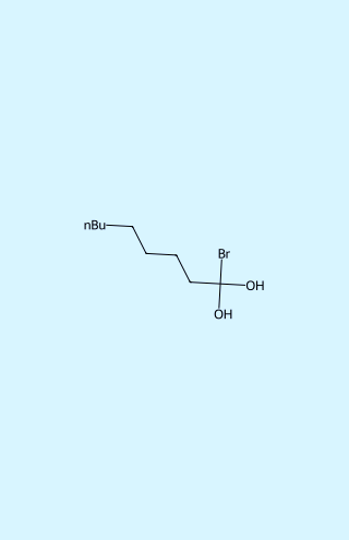 CCCCCCCCC(O)(O)Br